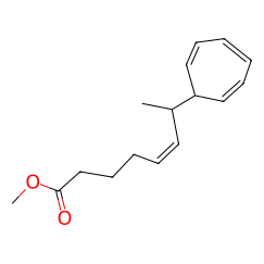 COC(=O)CCC/C=C\C(C)C1C=CC=CC=C1